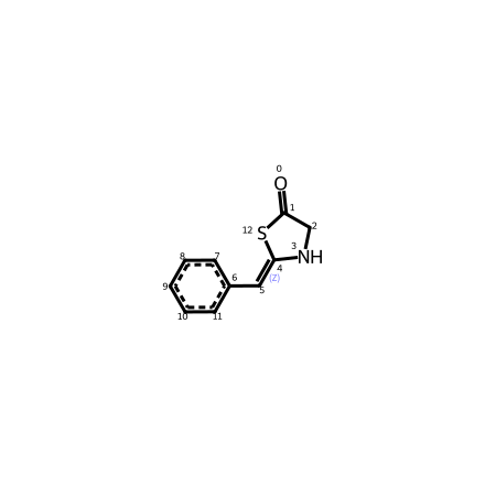 O=C1CN/C(=C/c2ccccc2)S1